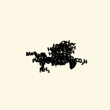 CC[C@H](C)[C@H](NC(=O)[C@@H](NC(=O)[C@H](Cc1ccccc1)NC(=O)[C@H](CCCCN)NC(=O)[C@H](CC(C)C)NC(=O)[C@@H](N)CCSC)C(C)C)C(=O)N[C@@H](CC(C)C)C(=O)N[C@H](C(=O)N[C@@H](CS)C(=O)N[C@@H](CO)C(=O)N[C@H](C(=O)N[C@@H](C)C(=O)N[C@@H](CS)C(=O)N[C@H](C(=O)N[C@@H](Cc1ccccc1)C(=O)NCC(=O)O)C(C)C)C(C)C)C(C)C